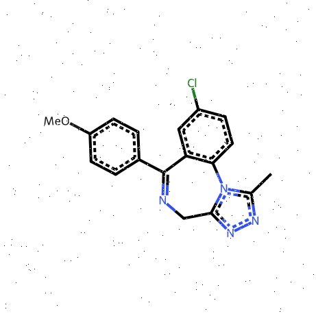 COc1ccc(C2=NCc3nnc(C)n3-c3ccc(Cl)cc32)cc1